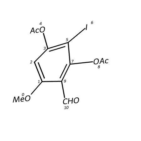 COc1cc(OC(C)=O)c(I)c(OC(C)=O)c1C=O